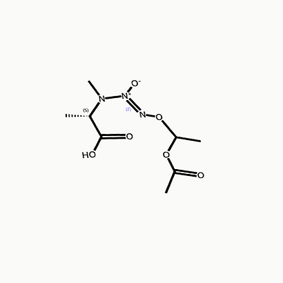 CC(=O)OC(C)O/N=[N+](\[O-])N(C)[C@@H](C)C(=O)O